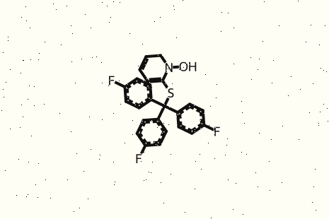 ON1CC=CC=C1SC(c1ccc(F)cc1)(c1ccc(F)cc1)c1ccc(F)cc1